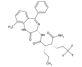 CCC[C@H](C(=O)N[C@H]1N=C(c2ccccc2)c2cccc(C)c2NC1=O)[C@@H](CCC(F)(F)F)C(N)=O